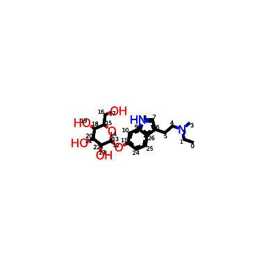 CCN(C)CCc1c[nH]c2cc(OC3OC(CO)C(O)C(O)C3O)ccc12